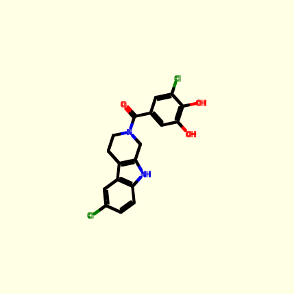 O=C(c1cc(O)c(O)c(Cl)c1)N1CCc2c([nH]c3ccc(Cl)cc23)C1